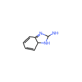 [NH]C1N=C2C=CC=CC2N1